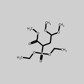 CCOP(=O)(OCC)C(CC(OC)OC)C(=O)OC